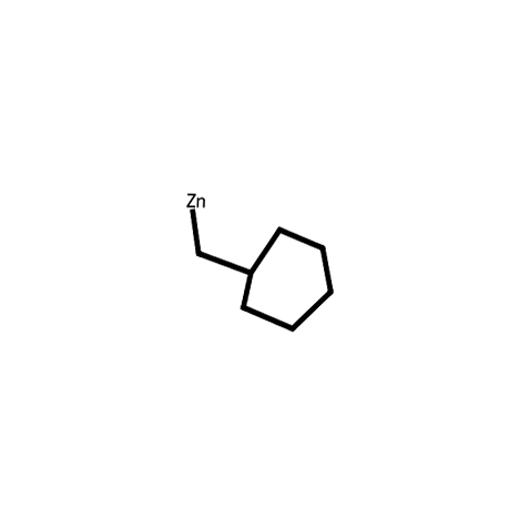 [Zn][CH2]C1CCCCC1